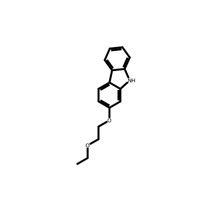 CCOCCOc1ccc2c(c1)[nH]c1ccccc12